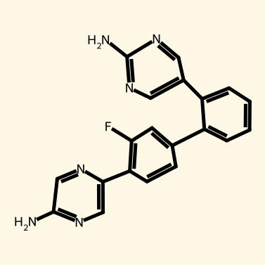 Nc1cnc(-c2ccc(-c3ccccc3-c3cnc(N)nc3)cc2F)cn1